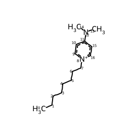 CCCCCCCC[n+]1ccc(N(C)C)cc1